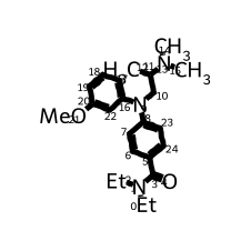 CCN(CC)C(=O)c1ccc(N(CC(C)N(C)C)c2cccc(OC)c2)cc1